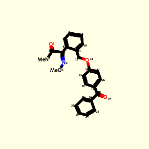 CNC(=O)C(=NOC)c1ccccc1COc1ccc(C(=O)c2ccccc2)cc1